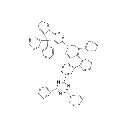 C1=CC(c2ccc3c(c2)C(c2ccccc2)(c2ccccc2)c2ccccc2-3)Cc2c1c1c(-c3cccc(-c4nc(-c5ccccc5)nc(-c5ccccc5)n4)c3)cccc1c1ccccc21